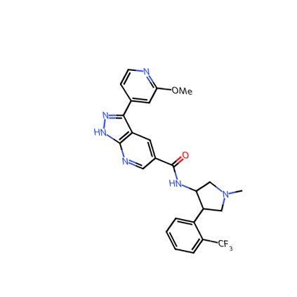 COc1cc(-c2n[nH]c3ncc(C(=O)NC4CN(C)CC4c4ccccc4C(F)(F)F)cc23)ccn1